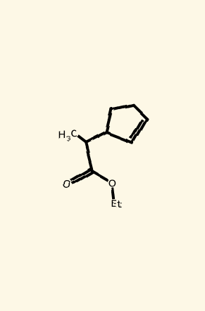 CCOC(=O)C(C)C1C=CCC1